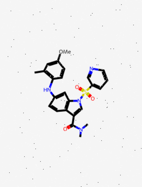 COc1ccc(Nc2ccc3c(C(=O)N(C)C)cn(S(=O)(=O)c4cccnc4)c3c2)c(C)c1